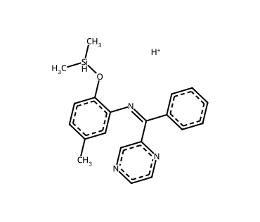 Cc1ccc(O[SiH](C)C)c(N=C(c2ccccc2)c2cnccn2)c1.[H+]